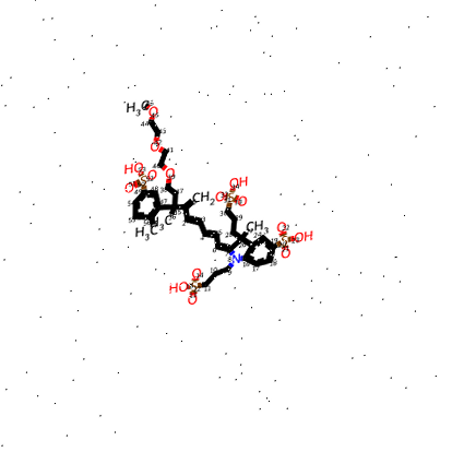 C=C(/C=C/C=C/C=C1/N(CCCS(=O)(=O)O)c2ccc(S(=O)(=O)O)cc2C1(C)CCCS(=O)(=O)O)C(C)(CCOCCOCCOC)c1cc(S(=O)(=O)O)ccc1C